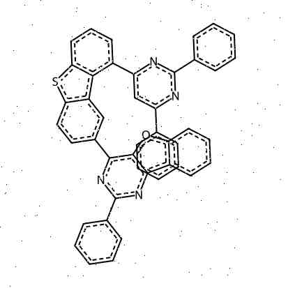 c1ccc(-c2cc(-c3cccc4sc5ccc(-c6nc(-c7ccccc7)nc7c6oc6ccccc67)cc5c34)nc(-c3ccccc3)n2)cc1